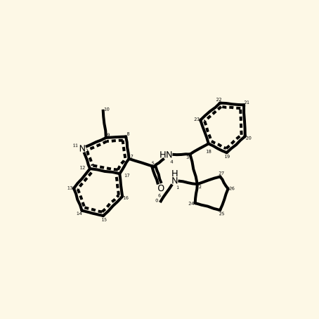 CNC1(C(NC(=O)c2cc(C)nc3ccccc23)c2ccccc2)CCCC1